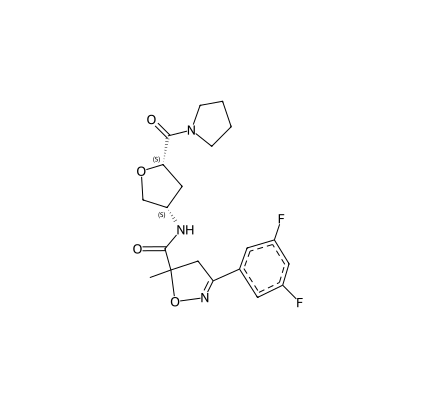 CC1(C(=O)N[C@@H]2CO[C@H](C(=O)N3CCCC3)C2)CC(c2cc(F)cc(F)c2)=NO1